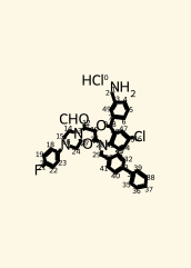 Cl.NCc1cccc(C2OC(C(C=O)N3CCN(c4ccc(F)cc4)CC3)C(=O)N(Cc3ccc(-c4ccccc4)cc3)c3ccc(Cl)cc32)c1